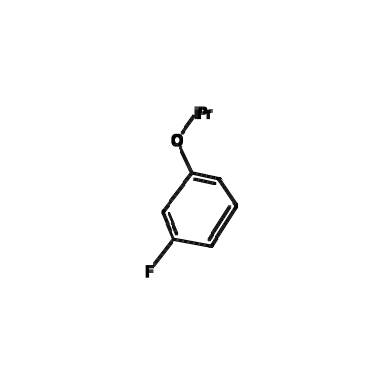 CC(C)Oc1cccc(F)c1